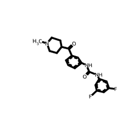 CN1CCC(C(=O)c2cccc(NC(=O)Nc3cc(F)cc(F)c3)c2)CC1